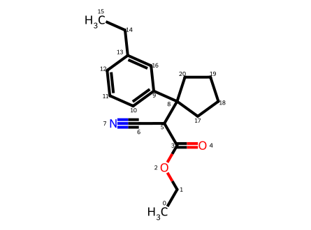 CCOC(=O)C(C#N)C1(c2cccc(CC)c2)CCCC1